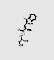 N#C/C(=C\c1[nH]c2ccccc2c1O)C(=N)NCC(O)CO